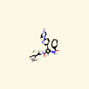 CCN(C(=O)C1CCCCC1)c1cc(-c2ccc(N3CCN(C(C)C)CC3)nc2)cc(C(=O)NC/C(C=O)=C(C)/C=C(/C)NC)c1C